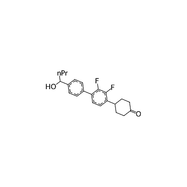 CCCC(O)c1ccc(-c2ccc(C3CCC(=O)CC3)c(F)c2F)cc1